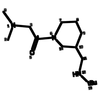 CN(C)CC(=O)N1CCCC(CNC(C)(C)C)C1